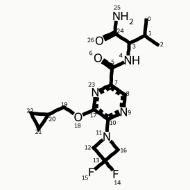 CC(C)C(NC(=O)c1cnc(N2CC(F)(F)C2)c(OCC2CC2)n1)C(N)=O